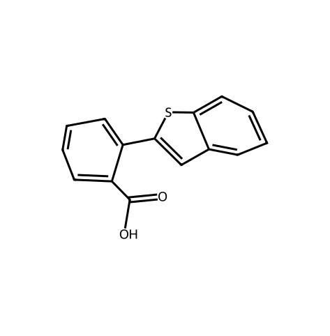 O=C(O)c1ccccc1-c1cc2ccccc2s1